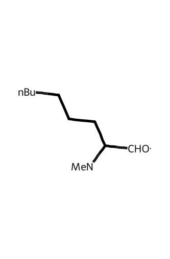 CCCCCCCC([C]=O)NC